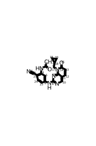 CC(=O)Nc1cc(Nc2ncc3ccc(=O)n(CC4CC4)c3n2)ccc1C#N